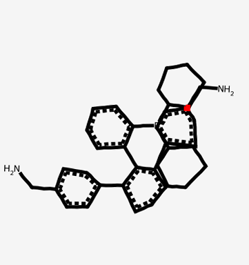 NCc1ccc(-c2cccc(-c3ccc(CN)cc3)c2-c2ccccc2P(C2CCCCC2)C2CCCCC2)cc1